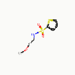 COCCNS(=O)(=O)c1cccs1